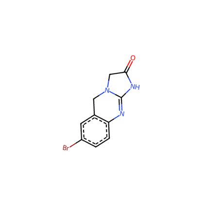 O=C1CN2Cc3cc(Br)ccc3N=C2N1